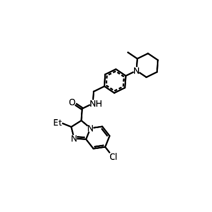 CCC1N=C2C=C(Cl)C=CN2C1C(=O)NCc1ccc(N2CCCCC2C)cc1